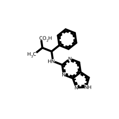 CC(C(=O)O)C(Nc1ncc2c[nH]nc2n1)c1ccccc1